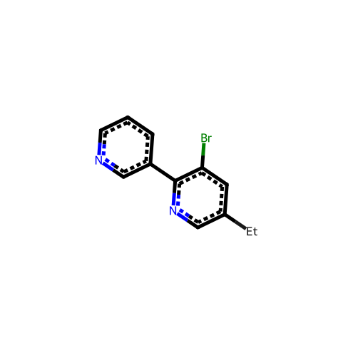 CCc1cnc(-c2cccnc2)c(Br)c1